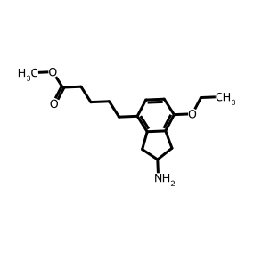 CCOc1ccc(CCCCC(=O)OC)c2c1CC(N)C2